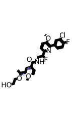 C=C/C(=C\C(OC)=C(/C)OCCO)C(=O)NCC(F)c1ccc(OC)c(-c2ccc(F)c(Cl)c2)n1